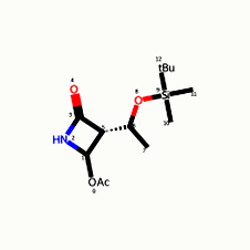 CC(=O)OC1NC(=O)[C@@H]1C(C)O[Si](C)(C)C(C)(C)C